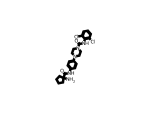 NC1(C(=O)Nc2ccc(N3CCN(C(=O)Nc4c(Cl)cccc4Cl)CC3)cc2)CCCC1